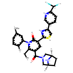 CCc1ccc(OC)cc1-n1c(CC(C)C)c(C(=O)N2C[C@H]3CC[C@@H](C2)N3)cc(-c2nc(-c3ccc(C(F)F)nc3)cs2)c1=O